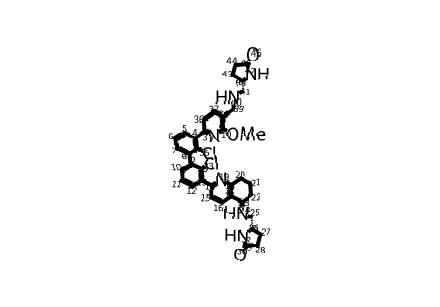 COc1nc(-c2cccc(-c3cccc(-c4ccc5c(n4)CCCC5NC[C@@H]4CCC(=O)N4)c3Cl)c2Cl)ccc1CNC[C@@H]1CCC(=O)N1